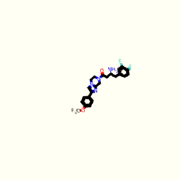 N[C@@H](CC(=O)N1CCn2cc(-c3ccc(OC(F)(F)F)cc3)nc2C1)Cc1ccc(F)c(F)c1